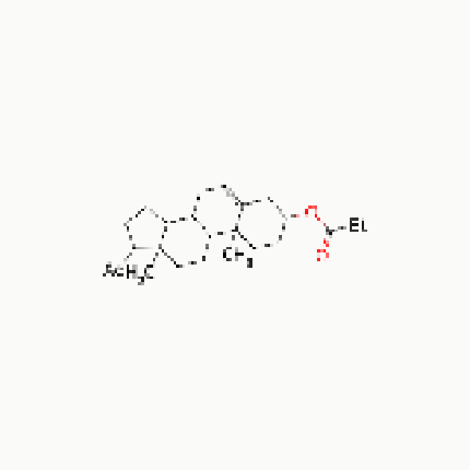 CCC(=O)OC1CCC2(C)C(=CCC3C2CCC2(C)C(C(C)=O)CCC32)C1